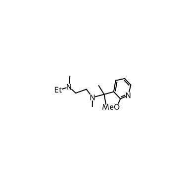 CCN(C)CCN(C)C(C)(C)c1cccnc1OC